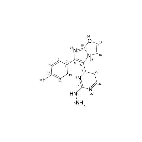 NNC1=NC(c2c(-c3ccc(F)cc3)nc3occn23)CC=N1